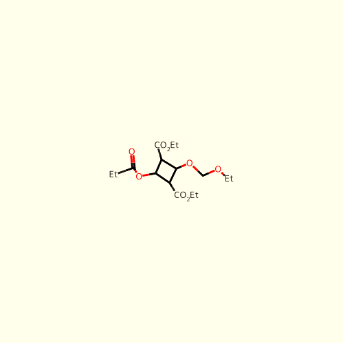 CCOCOC1C(C(=O)OCC)C(OC(=O)CC)C1C(=O)OCC